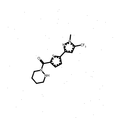 Cn1nc(-c2ccc(C(=O)N3CCCCN3)s2)cc1C(F)(F)F